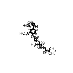 CN(C)C(=O)CNC(=O)[C@@](C)(N)CN1CC(Oc2ccc3c(c2C(=O)O)O[B-](O)(O)[C@H]2C[C@@H]32)C1